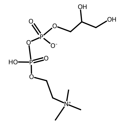 C[N+](C)(C)CCOP(=O)(O)OP(=O)([O-])OCC(O)CO